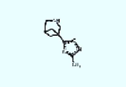 Cc1noc(C23CNCC(C2)C3)n1